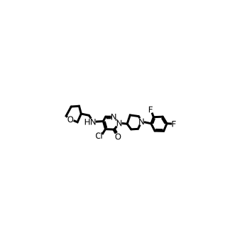 O=c1c(Cl)c(NCC2CCCOC2)cnn1C1CCN(c2ccc(F)cc2F)CC1